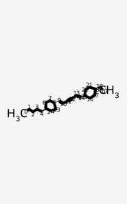 CCCCC[C@H]1CC[C@H](/C=C/C#C/C=C/[C@H]2CC[C@H](CC)CC2)CC1